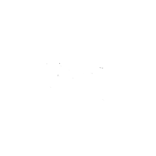 C[C@@H](O)[C@H](NC(=O)[C@H](CCCCN)NC(=O)[C@H](CC(=O)O)NC(=O)[C@@H](N)CS)C(=O)O